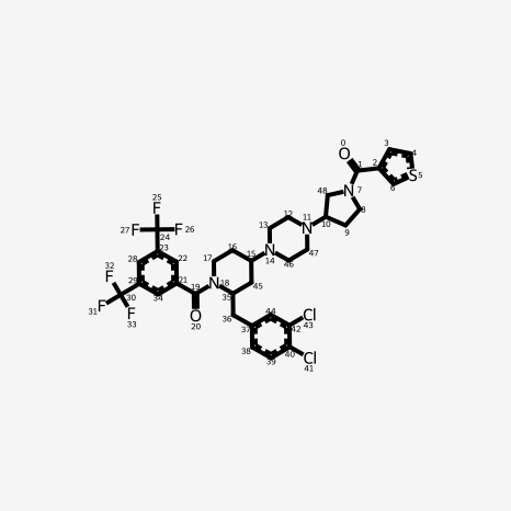 O=C(c1ccsc1)N1CCC(N2CCN(C3CCN(C(=O)c4cc(C(F)(F)F)cc(C(F)(F)F)c4)C(Cc4ccc(Cl)c(Cl)c4)C3)CC2)C1